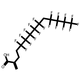 C=C(CCC(F)(F)C(F)(F)C(F)(F)C(F)(F)C(F)(F)CC(F)(F)C(F)(F)C(F)(F)C(F)(F)F)C(=O)O